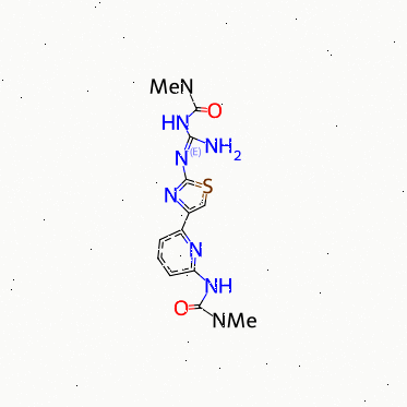 CNC(=O)N/C(N)=N/c1nc(-c2cccc(NC(=O)NC)n2)cs1